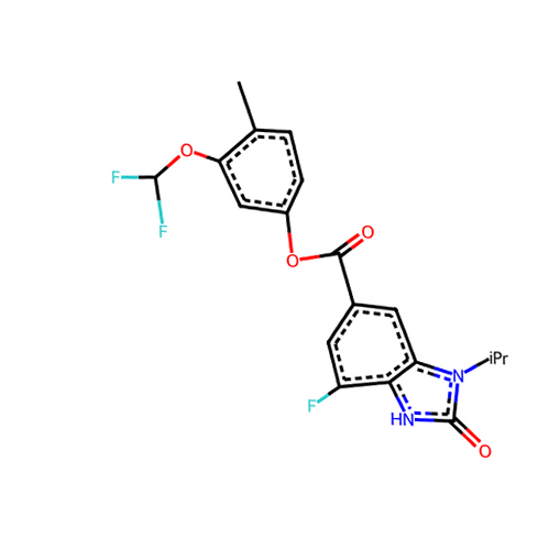 Cc1ccc(OC(=O)c2cc(F)c3[nH]c(=O)n(C(C)C)c3c2)cc1OC(F)F